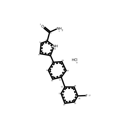 Cl.NC(=O)c1ccc(-c2ccc(-c3cccc(F)c3)cc2)[nH]1